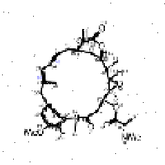 CN[C@@H](C)C(=O)O[C@H]1CC(=O)N(C)c2cc(cc(OC)c2Cl)C/C(C)=C/C=C/C[C@@]2(O)C[C@H](OC(=O)N2)[C@@H](C)[C@@H]2O[C@@]12C